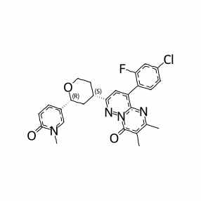 Cc1nc2c(-c3ccc(Cl)cc3F)cc([C@H]3CCO[C@@H](c4ccc(=O)n(C)c4)C3)nn2c(=O)c1C